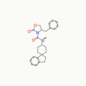 C[C@H](C(=O)N1C(=O)OCC1Cc1ccccc1)C1CCC2(CCc3ccccc32)CC1